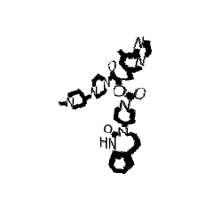 Cc1cc(C[C@@H](OC(=O)N2CCC(N3CCc4ccccc4NC3=O)CC2)C(=O)N2CCN(C3CCN(C)CC3)CC2)cn2ccnc12